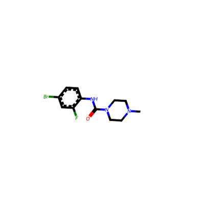 CN1CCN(C(=O)Nc2ccc(Br)cc2F)CC1